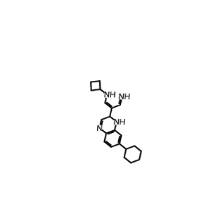 N=C/C(=C\NC1CCC1)C1C=Nc2ccc(C3CCCCC3)cc2N1